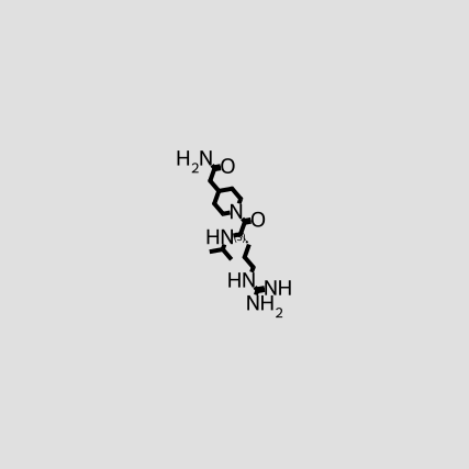 CC(C)N[C@@H](CCCNC(=N)N)C(=O)N1CCC(CC(N)=O)CC1